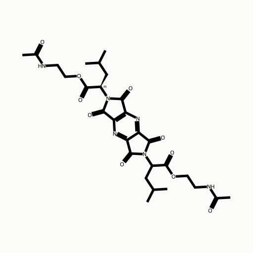 CC(=O)NCCOC(=O)C(CC(C)C)n1c(=O)c2nc3c(=O)n([C@H](CC(C)C)C(=O)OCCNC(C)=O)c(=O)c3nc2c1=O